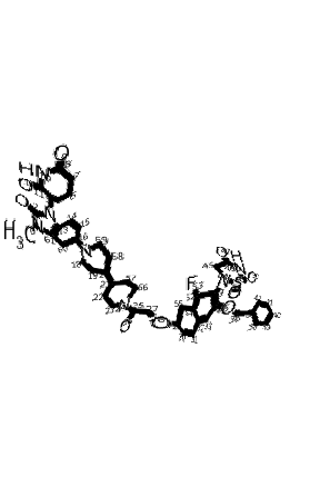 Cn1c(=O)n(C2CCC(=O)NC2=O)c2ccc(N3CCC(C4CCN(C(=O)COc5ccc6cc(OCc7ccccc7)c(N7CC(=O)NS7(=O)=O)c(F)c6c5)CC4)CC3)cc21